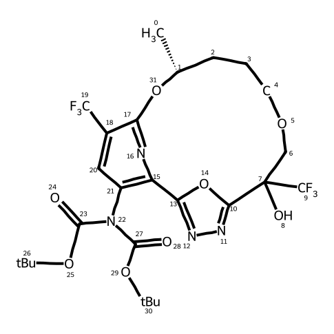 C[C@@H]1CCCOCC(O)(C(F)(F)F)c2nnc(o2)-c2nc(c(C(F)(F)F)cc2N(C(=O)OC(C)(C)C)C(=O)OC(C)(C)C)O1